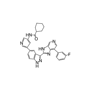 O=C(Nc1cncc(-c2ccc3[nH]nc(-c4nc5c(-c6cccc(F)c6)cncc5[nH]4)c3c2)c1)C1CCCCC1